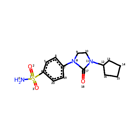 NS(=O)(=O)c1ccc(N2CCN(C3CCCC3)C2=O)cc1